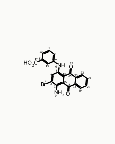 Nc1c(Br)cc(Nc2cccc(C(=O)O)c2)c2c1C(=O)c1ccccc1C2=O